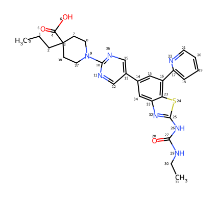 CCCC1(C(=O)O)CCN(c2ncc(-c3cc(-c4ccccn4)c4sc(NC(=O)NCC)nc4c3)cn2)CC1